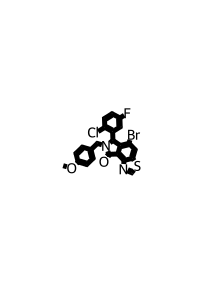 COc1ccc(CN2C(=O)c3c(c(Br)cc4scnc34)C2c2cc(F)ccc2Cl)cc1